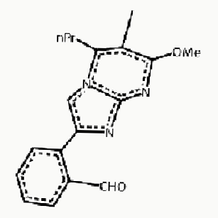 CCCc1c(C)c(OC)nc2nc(-c3ccccc3C=O)cn12